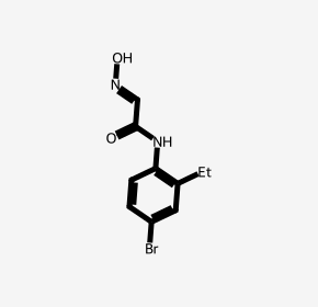 CCc1cc(Br)ccc1NC(=O)C=NO